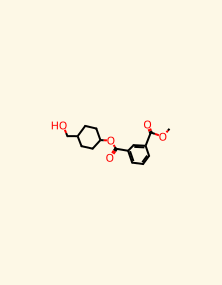 COC(=O)c1cccc(C(=O)OC2CCC(CO)CC2)c1